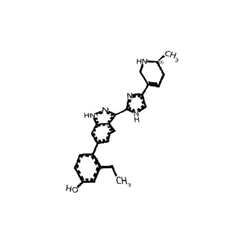 CCc1cc(O)ccc1-c1ccc2c(-c3nc(C4=CC[C@H](C)NC4)c[nH]3)n[nH]c2c1